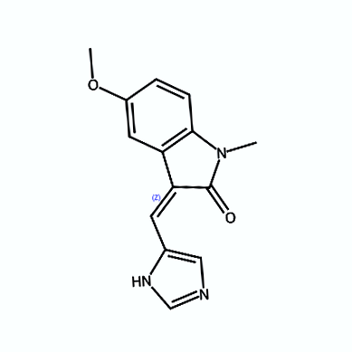 COc1ccc2c(c1)/C(=C/c1cnc[nH]1)C(=O)N2C